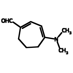 CN(C)C1=CC=C(C=O)CCC1